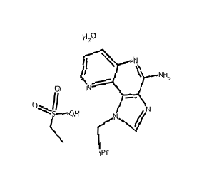 CC(C)Cn1cnc2c(N)nc3cccnc3c21.CCS(=O)(=O)O.O